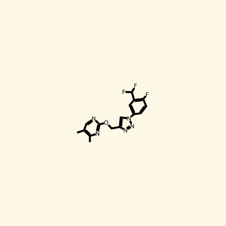 Cc1cnc(OCc2cn(-c3ccc(F)c(C(F)F)c3)nn2)nc1C